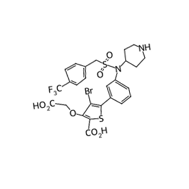 O=C(O)COc1c(C(=O)O)sc(-c2cccc(N(C3CCNCC3)S(=O)(=O)Cc3ccc(C(F)(F)F)cc3)c2)c1Br